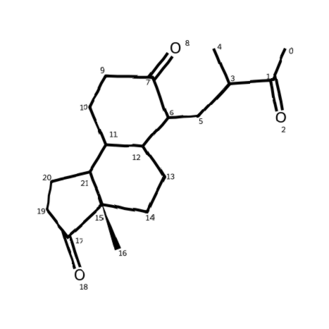 CC(=O)C(C)CC1C(=O)CCC2C1CC[C@]1(C)C(=O)CCC21